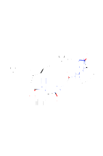 CC=C[C@@H](OC)[C@@H](C)C(=O)N[C@H](C(=O)N[C@@H](C)C(=O)N1CCCC(C)(C(=O)OC)N1)C(C)C